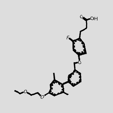 CCOCCOc1cc(C)c(-c2cccc(COc3ccc(CCC(=O)O)c(F)c3)c2)c(C)c1